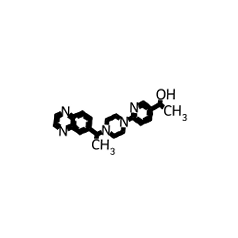 CC(O)c1ccc(N2CCN(C(C)c3ccc4nccnc4c3)CC2)nc1